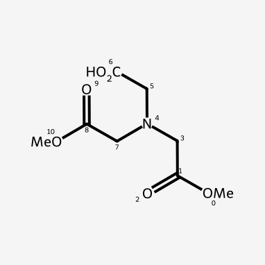 COC(=O)CN(CC(=O)O)CC(=O)OC